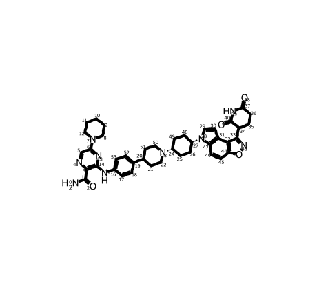 NC(=O)c1ncc(N2CCCCC2)nc1Nc1ccc(C2CCN([C@H]3CC[C@@H](n4ccc5c6c(C7CCC(=O)NC7=O)noc6ccc54)CC3)CC2)cc1